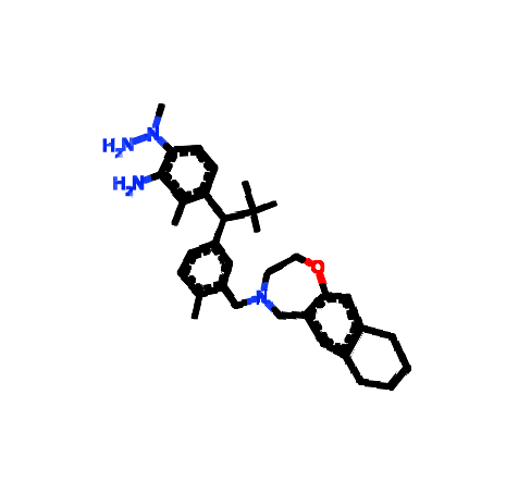 Cc1ccc(C(c2ccc(N(C)N)c(N)c2C)C(C)(C)C)cc1CN1CCOc2cc3c(cc2C1)CCCC3